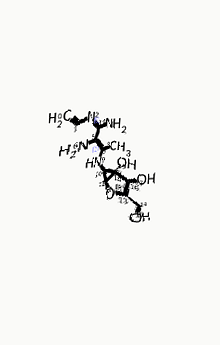 C=C/N=C(N)\C(N)=C(/C)NC1C2O[C@H](CO)C(O)[C@]12O